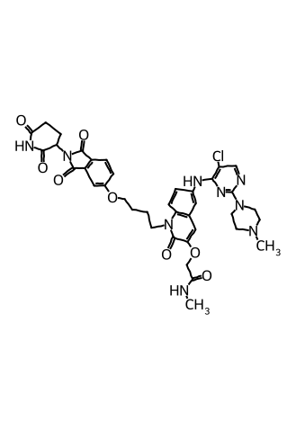 CNC(=O)COc1cc2cc(Nc3nc(N4CCN(C)CC4)ncc3Cl)ccc2n(CCCCOc2ccc3c(c2)C(=O)N(C2CCC(=O)NC2=O)C3=O)c1=O